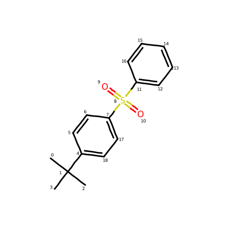 CC(C)(C)c1ccc(S(=O)(=O)c2c[c]ccc2)cc1